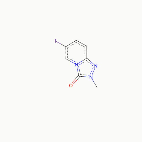 Cn1nc2ccc(I)cn2c1=O